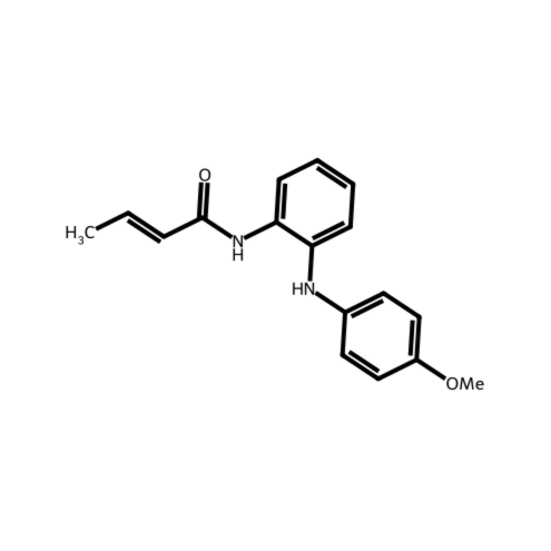 CC=CC(=O)Nc1ccccc1Nc1ccc(OC)cc1